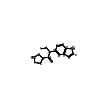 CCN(C(=O)C1CCNC1)c1ccc2[nH]ncc2c1